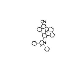 N#Cc1ccc2c(c1)c1c(n2-c2c(-c3c#cccc3)cc(-c3cc(-c4ccccc4)nc(-c4ccccc4)n3)cc2-c2ccccc2)CCC=C1